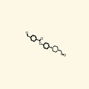 O=Cc1ccc(C(=O)Oc2ccc(N3CCN(CN=O)CC3)cc2)cc1